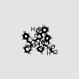 C/C=C(/CC(NC(=O)[C@@H]1CCCCN1C(=O)[C@H](Cc1ccccc1)NC(=O)CCl)C(=O)CC[C@@H](Cc1ccccc1)C(=O)N1CCCCC1)c1ccccc1C